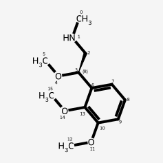 CNC[C@H](OC)c1cccc(OC)c1OC